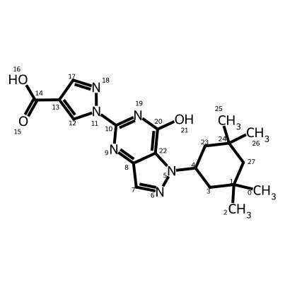 CC1(C)CC(n2ncc3nc(-n4cc(C(=O)O)cn4)nc(O)c32)CC(C)(C)C1